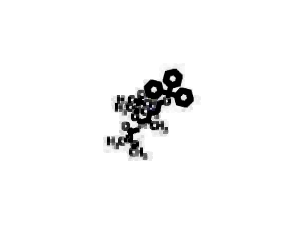 CON(C)C(=O)C[C@H](O[Si](C)(C)C(C)(C)C)[C@H](C)/C=C/COC(c1ccccc1)(c1ccccc1)c1ccccc1